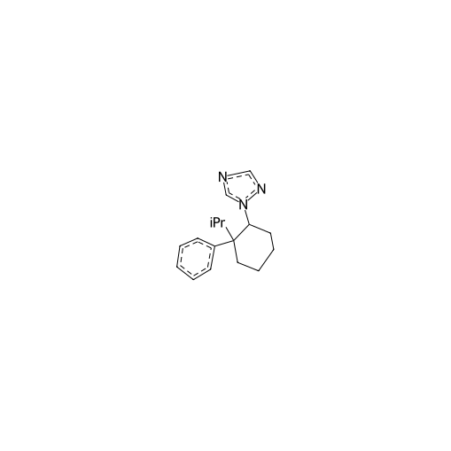 CC(C)C1(c2ccccc2)CCCCC1n1cncn1